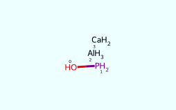 OP.[AlH3].[CaH2]